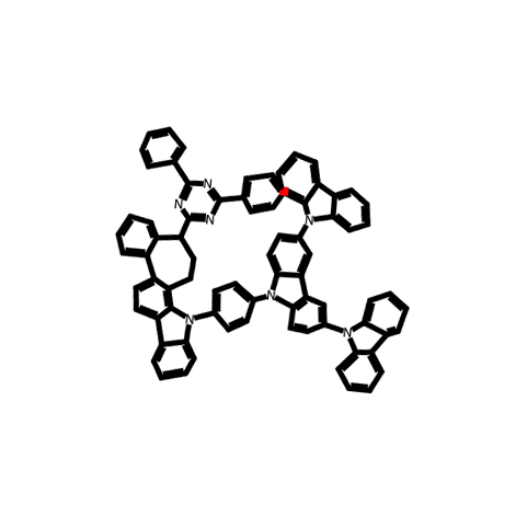 c1ccc(-c2nc(-c3ccccc3)nc(C3CCc4c(ccc5c6ccccc6n(-c6ccc(-n7c8ccc(-n9c%10ccccc%10c%10ccccc%109)cc8c8cc(-n9c%10ccccc%10c%10ccccc%109)ccc87)cc6)c45)-c4ccccc43)n2)cc1